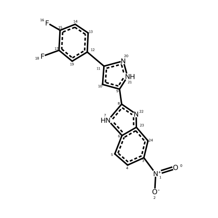 O=[N+]([O-])c1ccc2[nH]c(-c3cc(-c4ccc(F)c(F)c4)n[nH]3)nc2c1